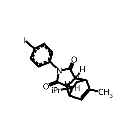 CC1=CC2[C@H](C(C)C)CC1[C@H]1C(=O)N(c3ccc(I)cc3)C(=O)[C@@H]21